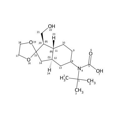 CC(C)(C)N(C(=O)O)C1CC[C@@H]2[C@@H](C1)CC1(OCCO1)[C@H]2CO